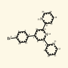 Brc1ccc(-c2cc(-c3ccccn3)nc(-c3ccccn3)c2)cc1